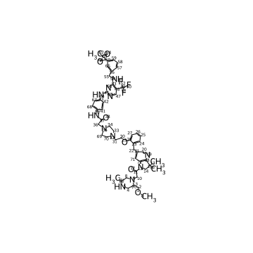 COC[C@H]1CN[C@H](C)CN1CC(=O)N1CC(C)(C)c2ncc(Cc3ccccc3OCCN3CCN(CC(=O)Nc4ccc(Nc5ncc(C(F)(F)F)c(NCc6cccc(S(C)(=O)=O)c6)n5)cc4)CC3)cc21